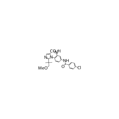 COCC(C)(C)c1ncc(C(=O)O)n1-c1ccc(NC(=O)c2ccc(Cl)cc2)cc1N(C)C